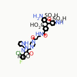 COC(=O)C1=C(CN2CCN(C(=O)CCCNC(=O)c3ccc(-c4c5ccc(=N)c(S(=O)(=O)O)c-5oc5c(S(=O)(=O)O)c(N)ccc45)c(C(=O)O)c3)CC2)NC(c2ccccn2)=NC1c1ccc(F)cc1Cl